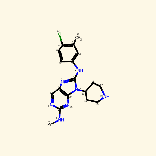 CC(C)Nc1ncc2nc(Nc3ccc(Cl)c(C(F)(F)F)c3)n(C3CCNCC3)c2n1